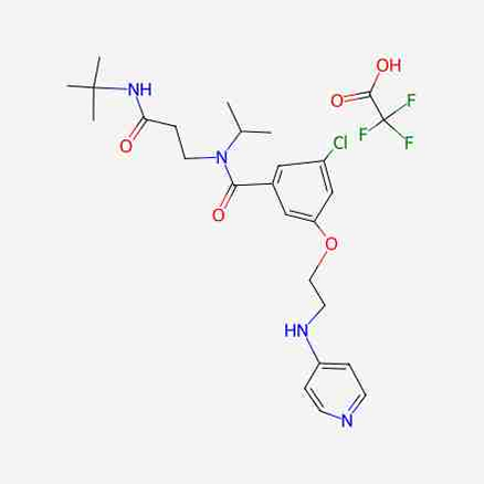 CC(C)N(CCC(=O)NC(C)(C)C)C(=O)c1cc(Cl)cc(OCCNc2ccncc2)c1.O=C(O)C(F)(F)F